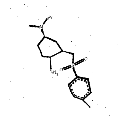 Cc1ccc(S(=O)(=O)C[C@@H]2C[C@H](N(C)C(C)C)CC[C@@H]2N)cc1